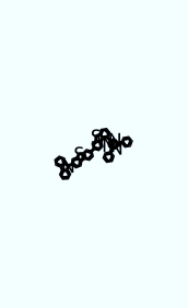 c1ccc(-c2nc(-c3ccccc3)nc(-c3cccc4sc5cc(-c6ccc7c(c6)sc6cc(-n8c9ccccc9c9ccccc98)ccc67)ccc5c34)n2)cc1